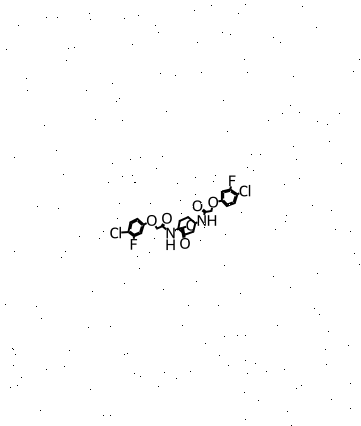 O=C(COc1ccc(Cl)c(F)c1)NC12CCC(NC(=O)COc3ccc(Cl)c(F)c3)(CC1)C(=O)C2